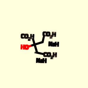 O=C(O)[CH]C(O)(CC(=O)O)C(=O)O.[NaH].[NaH]